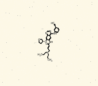 C#Cc1cccc(Nc2ncnc3cc(O[C@@H]4CCOC4)c(NC(=O)C=CCN(CCC)CCC)cc23)c1